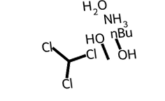 CCCCO.CO.ClC(Cl)Cl.N.O